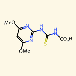 COc1cc(OC)nc(NC(=S)NC(=O)O)n1